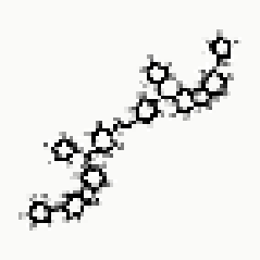 C(=C\c1ccc(N(c2ccccc2)c2ccc3sc4ccc(-c5ccccc5)cc4c3c2)cc1)/c1ccc(N(c2ccccc2)c2ccc3sc4ccc(-c5ccccc5)cc4c3c2)cc1